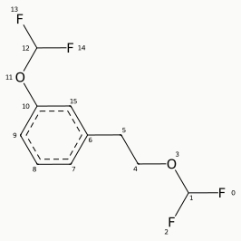 FC(F)OCCc1cccc(OC(F)F)c1